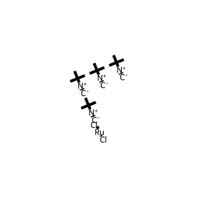 [C-]#[N+]C(C)(C)C.[C-]#[N+]C(C)(C)C.[C-]#[N+]C(C)(C)C.[C-]#[N+]C(C)(C)C.[Cl][Ru][Cl]